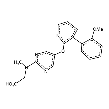 COc1ccccc1-c1cccnc1Oc1cnc(N(C)CC(=O)O)nc1